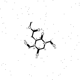 COC(=O)C[C@H]1C(=O)N(C=O)CC(=O)N1C=O